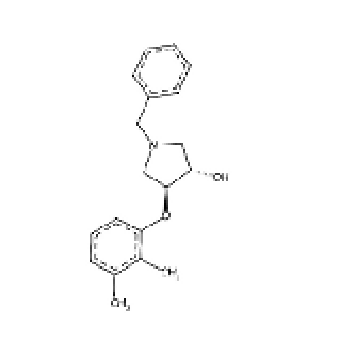 Cc1cccc(O[C@H]2CN(Cc3ccccc3)C[C@@H]2O)c1C